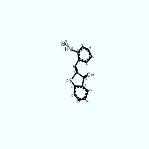 CC(C)(C)Nc1ccccc1C=C1Sc2ccccc2C1=O